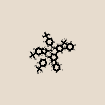 CC(C)(C)c1ccc(N2B3c4sc5ccc(C(C)(C)C)cc5c4N(c4ccc(C(C)(C)C)cc4)c4c3c(cc3c4oc4ccccc43)-c3cc4c(cc32)C(C)(C)c2ccccc2-4)cc1